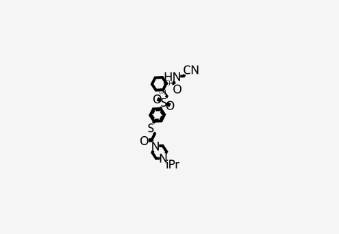 CC(C)N1CCN(C(=O)CSc2ccc(S(=O)(=O)C[C@H]3CCCC[C@@H]3C(=O)NCC#N)cc2)CC1